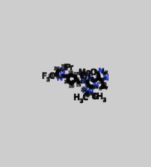 COc1ncnc(C2CC2)c1-c1nc(N(C)Cc2ccc(-c3nc(C(F)(F)F)cn3C(C)C)cc2)c2nc(C)n(C)c2n1